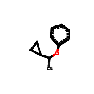 N#CC(Oc1ccccc1)C1CC1